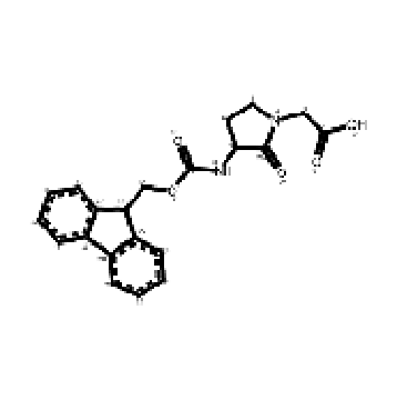 O=C(O)CN1CCC(NC(=O)OCC2c3ccccc3-c3ccccc32)C1=O